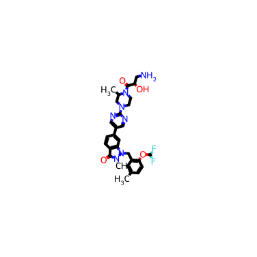 Cc1ccc(OC(F)F)c(Cn2c3cc(-c4cnc(N5CCN(C(=O)C(O)CN)C(C)C5)nc4)ccc3c(=O)n2C)c1